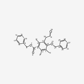 Cc1c(C)c(C(=O)OCc2ccccc2)c(C)c(CC=O)c1OCc1ccccc1